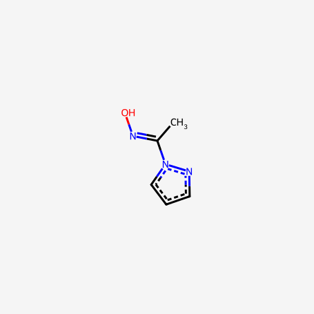 CC(=NO)n1cccn1